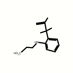 C=C(C)C(C)(C)c1ccccc1NCCC(=O)O